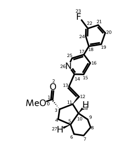 COC(=O)[C@H]1C[C@H]2CCCC[C@H]2[C@@H]1/C=C/c1ccc(-c2cccc(F)c2)cn1